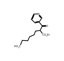 CCOC(=O)C(CCCCCC(=O)O)C(=O)c1cccnc1